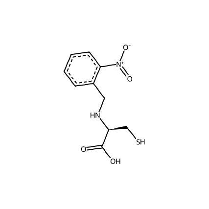 O=C(O)[C@H](CS)NCc1ccccc1[N+](=O)[O-]